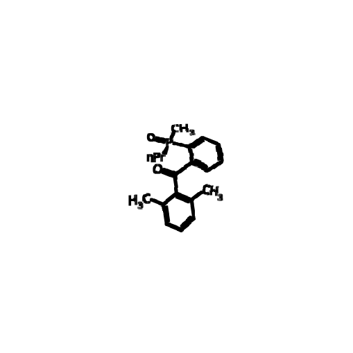 CCC[P@](C)(=O)c1ccccc1C(=O)c1c(C)cccc1C